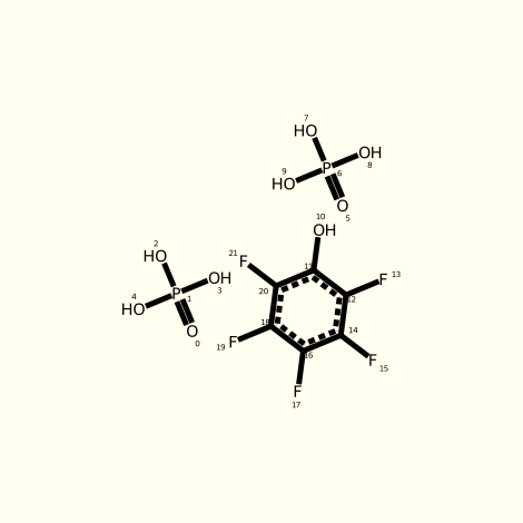 O=P(O)(O)O.O=P(O)(O)O.Oc1c(F)c(F)c(F)c(F)c1F